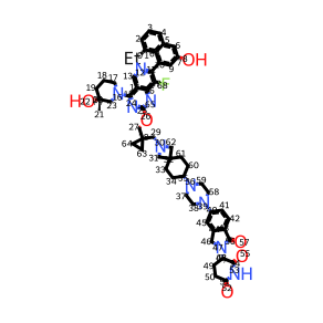 CCc1cccc2cc(O)cc(-c3ncc4c(N5CCC[C@@](C)(O)C5)nc(OCC5(CN6CC7(CCC(N8CCN(c9ccc%10c(c9)CN([C@H]9CCC(=O)NC9=O)C%10=O)CC8)CC7)C6)CC5)nc4c3F)c12